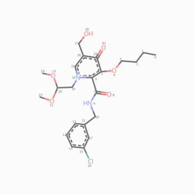 CCCCOc1c(C(=O)NCc2cccc(Cl)c2)n(CC(OC)OC)cc(CO)c1=O